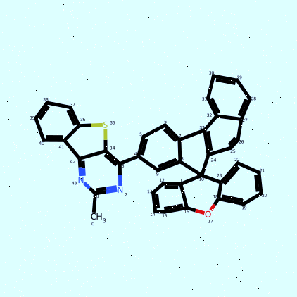 Cc1nc(-c2ccc3c(c2)C2(c4ccccc4Oc4ccccc42)c2ccc4ccccc4c2-3)c2sc3ccccc3c2n1